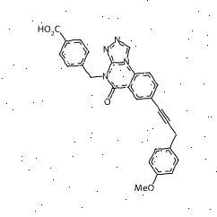 COc1ccc(CC#Cc2ccc3c(c2)c(=O)n(Cc2ccc(C(=O)O)cc2)c2nncn32)cc1